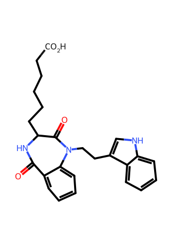 O=C(O)CCCCCC1NC(=O)c2ccccc2N(CCc2c[nH]c3ccccc23)C1=O